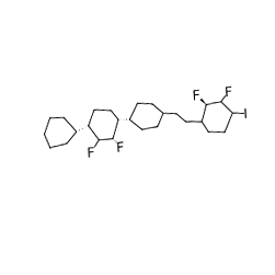 FC1C(I)CCC(CCC2CCC([C@H]3CC[C@@H](C4CCCCC4)C(F)[C@H]3F)CC2)[C@H]1F